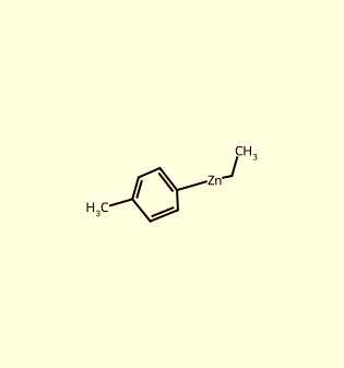 C[CH2][Zn][c]1ccc(C)cc1